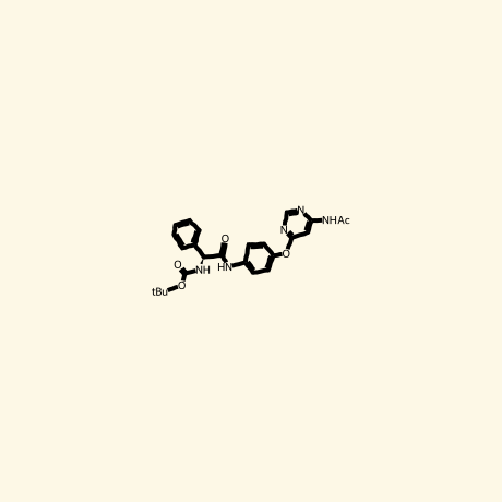 CC(=O)Nc1cc(Oc2ccc(NC(=O)[C@H](NC(=O)OC(C)(C)C)c3ccccc3)cc2)ncn1